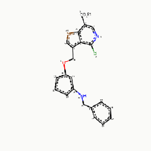 CCOC(=O)c1cnc(Cl)c2c(COc3cccc(NCc4ccccc4)c3)csc12